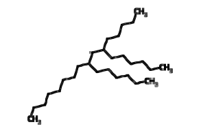 CCCCCCCCC([CH]C(CCCCC)CCCCCC)CCCCCC